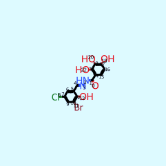 O=C(N/N=C/c1cc(Cl)cc(Br)c1O)c1ccc(O)c(O)c1O